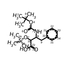 CC(C)(C)OC(=O)NC(Cc1ccccc1)C(O[Si](C)(C)C)C(=O)O